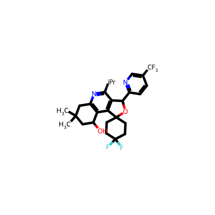 CC(C)c1nc2c(c3c1C(c1ccc(C(F)(F)F)cn1)OC31CCC(F)(F)CC1)C(O)CC(C)(C)C2